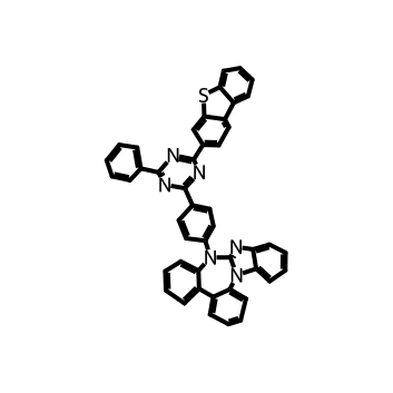 c1ccc(-c2nc(-c3ccc(N4c5ccccc5-c5ccccc5-n5c4nc4ccccc45)cc3)nc(-c3ccc4c(c3)sc3ccccc34)n2)cc1